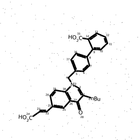 CCCCc1cn(Cc2ccc(-c3ccccc3C(=O)O)cc2)c2ccc(C=CC(=O)O)cc2c1=O